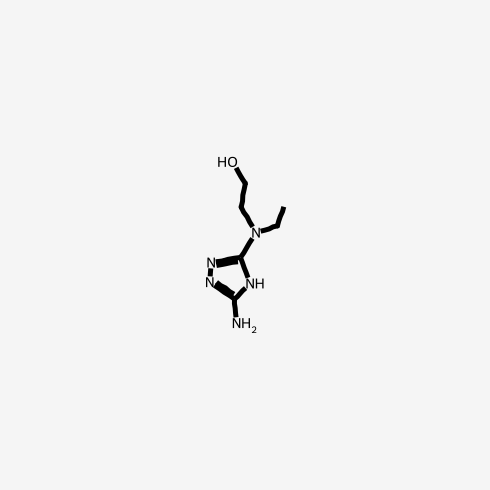 CCN(CCO)c1nnc(N)[nH]1